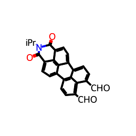 CC(C)N1C(=O)c2ccc3c4ccc(C=O)c5c(C=O)ccc(c6ccc(c2c36)C1=O)c54